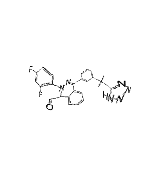 CC(C)(c1cccc(C2=NN(c3ccc(F)cc3F)C(C=O)c3ccccc32)c1)c1nnn[nH]1